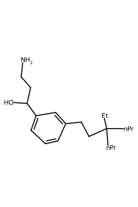 CCCC(CC)(CCC)CCc1cccc(C(O)CCN)c1